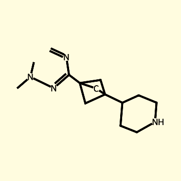 C=N/C(=N\N(C)C)C12CC(C3CCNCC3)(C1)C2